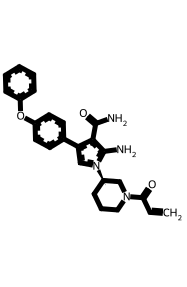 C=CC(=O)N1CCC[C@@H](n2cc(-c3ccc(Oc4ccccc4)cc3)c(C(N)=O)c2N)C1